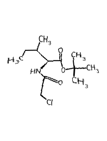 CCC(C)[C@H](NC(=O)CCl)C(=O)OC(C)(C)C